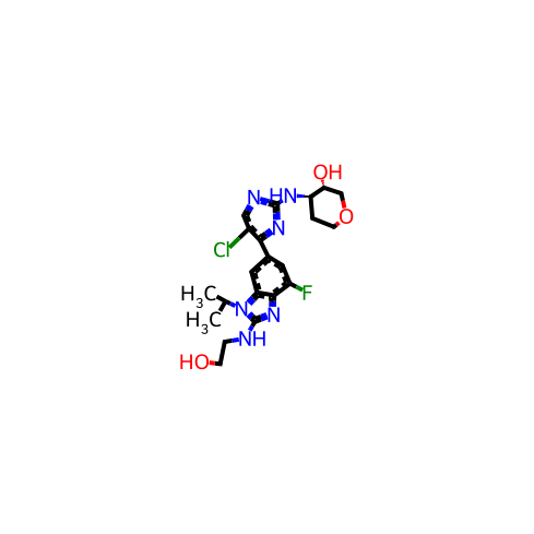 CC(C)n1c(NCCO)nc2c(F)cc(-c3nc(N[C@@H]4CCOC[C@H]4O)ncc3Cl)cc21